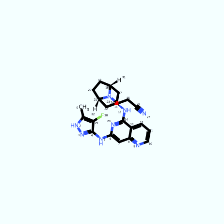 Cc1[nH]nc(Nc2cc3ncccc3c(N[C@@H]3C[C@H]4CC[C@@H](C3)N4CCC#N)n2)c1F